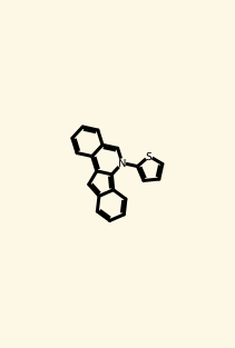 c1csc(-n2cc3ccccc3c3cc4ccccc4c2-3)c1